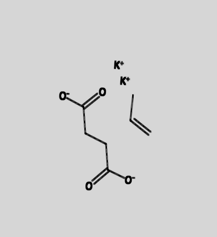 C=CC.O=C([O-])CCC(=O)[O-].[K+].[K+]